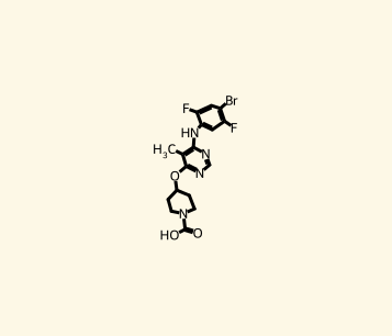 Cc1c(Nc2cc(F)c(Br)cc2F)ncnc1OC1CCN(C(=O)O)CC1